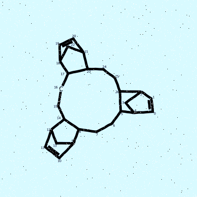 C1=CC2CC1C1CCC3C4C=CC(C4)C3CCC3C4C=CC(C4)C3CCC21